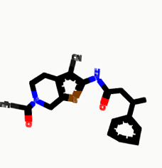 CCCC(=O)N1CCc2c(sc(NC(=O)CC(C)c3ccccc3)c2C#N)C1